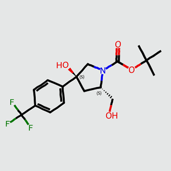 CC(C)(C)OC(=O)N1C[C@@](O)(c2ccc(C(F)(F)F)cc2)C[C@H]1CO